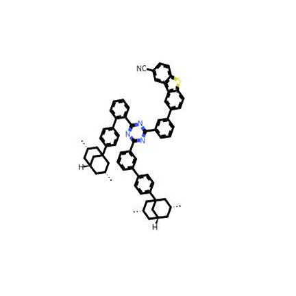 C[C@@H]1C[C@@H]2C[C@H](C)CC(c3ccc(-c4cccc(-c5nc(-c6cccc(-c7ccc8sc9ccc(C#N)cc9c8c7)c6)nc(-c6ccccc6-c6ccc(C78C[C@H](C)C[C@H](C[C@H](C)C7)C8)cc6)n5)c4)cc3)(C1)C2